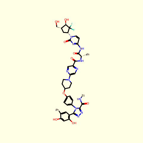 CCNC(=O)c1nnc(-c2cc(C(C)C)c(O)cc2O)n1-c1ccc(OC2CCN(c3cnc(C(=O)N[C@H](C(=O)Nc4ccn([C@@H]5C[C@H](CO)[C@@H](O)C5(F)F)c(=O)n4)C(C)C)cn3)CC2)cc1